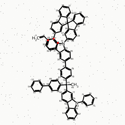 C=Cc1ccccc1-c1ccc2c(c1)C1(c3ccccc3-2)c2ccccc2-c2ccc(-n3c4ccccc4c4cc(-c5ccc([C@@](C)(c6ccc(-c7ccccc7)cc6)c6ccc7c8ccccc8n(-c8ccccc8)c7c6)cc5)ccc43)cc21